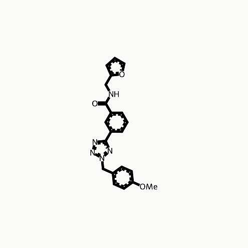 COc1ccc(Cn2nnc(-c3cccc(C(=O)NCc4ccco4)c3)n2)cc1